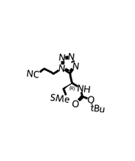 CSC[C@H](NC(=O)OC(C)(C)C)c1nnnn1CCC#N